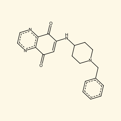 O=C1C=C(NC2CCN(Cc3ccccc3)CC2)C(=O)c2nccnc21